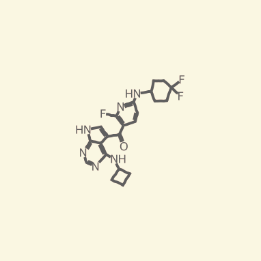 O=C(c1ccc(NC2CCC(F)(F)CC2)nc1F)c1c[nH]c2ncnc(NC3CCC3)c12